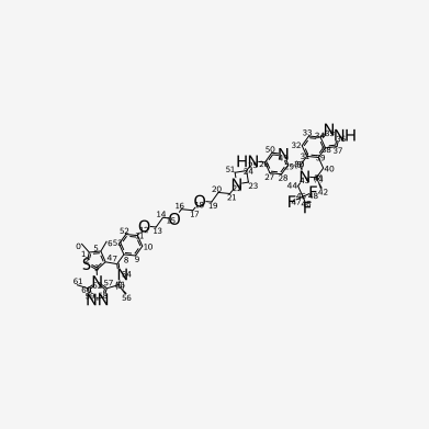 Cc1sc2c(c1C)C(c1ccc(OCCOCCOCCCN3CC(Nc4ccc([C@@H]5c6ccc7n[nH]cc7c6C[C@@H](C)N5CC(F)(F)F)nc4)C3)cc1)=N[C@@H](C)c1nnc(C)n1-2